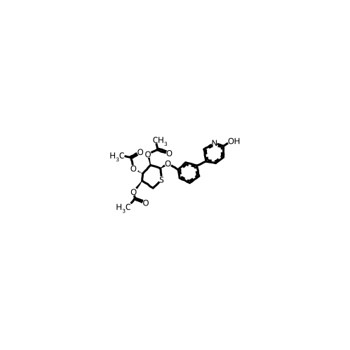 CC(=O)O[C@@H]1[C@@H](OC(C)=O)[C@@H](Oc2cccc(-c3ccc(O)nc3)c2)SC[C@H]1OC(C)=O